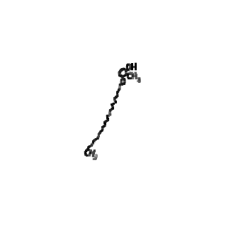 CCCCCCCCCCCCCCCCCCCCCCOc1cccc(O)c1C